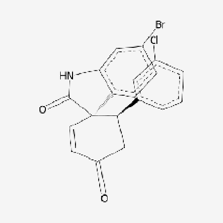 O=C1C=C[C@@]2(C(=O)Nc3cc(Br)ccc32)[C@@H](c2cccc(Cl)c2)C1